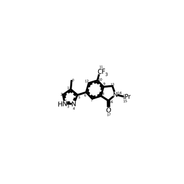 Cc1c[nH]nc1-c1cc2c(c(C(F)(F)F)c1)CN(C(C)C)C2=O